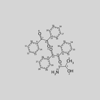 CC(O)CN.O=C(C(=O)c1ccccc1)c1ccccc1.O=C(C(=O)c1ccccc1)c1ccccc1